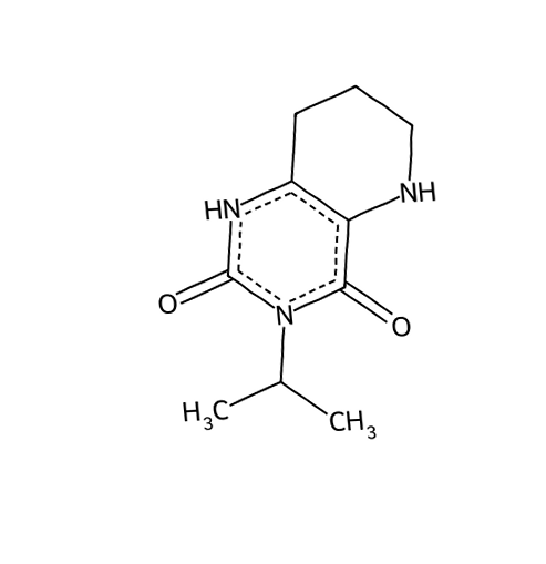 CC(C)n1c(=O)[nH]c2c(c1=O)NCCC2